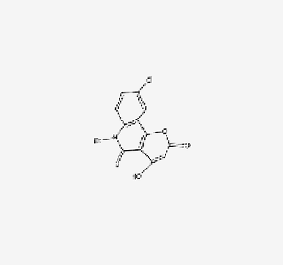 CCn1c(=O)c2c(O)cc(=O)oc2c2cc(Cl)ccc21